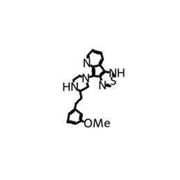 COc1cccc(CCC2CN(c3c4nccccc-4c4c3N=CSN4)CCN2)c1